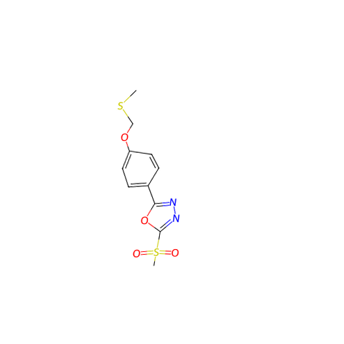 CSCOc1ccc(-c2nnc(S(C)(=O)=O)o2)cc1